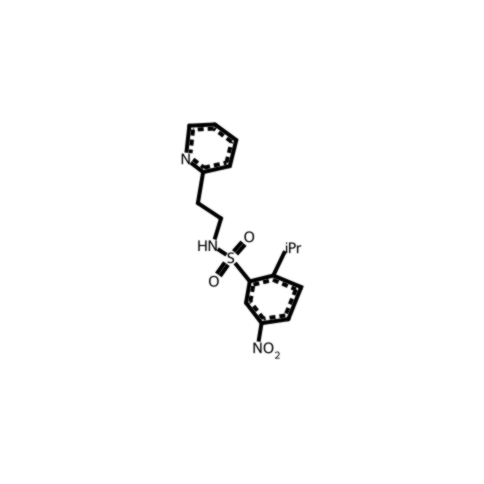 CC(C)c1ccc([N+](=O)[O-])cc1S(=O)(=O)NCCc1ccccn1